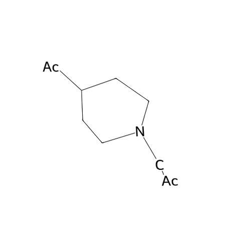 CC(=O)CN1CCC(C(C)=O)CC1